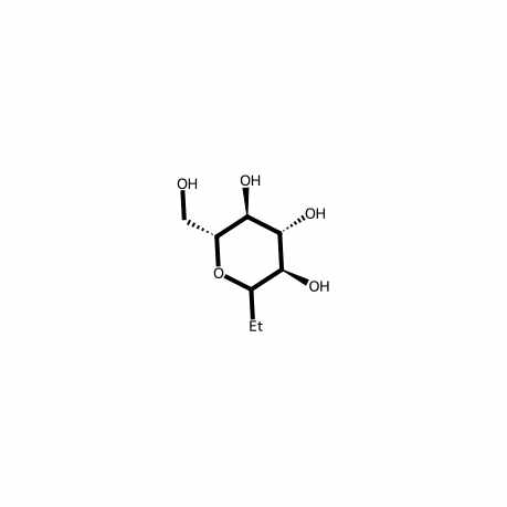 CCC1O[C@H](CO)[C@@H](O)[C@H](O)[C@H]1O